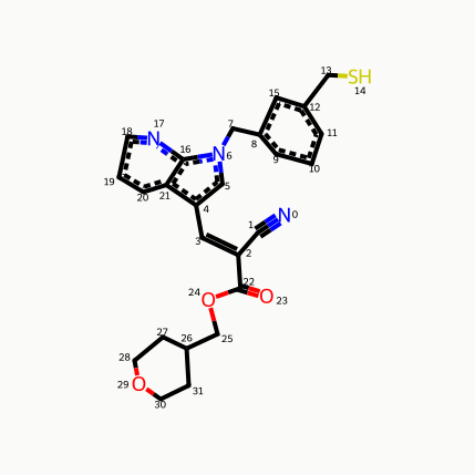 N#C/C(=C\c1cn(Cc2cccc(CS)c2)c2ncccc12)C(=O)OCC1CCOCC1